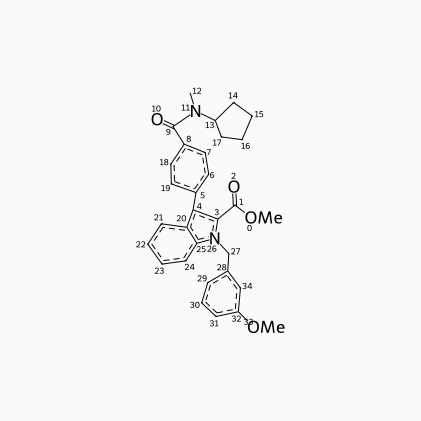 COC(=O)c1c(-c2ccc(C(=O)N(C)C3CCCC3)cc2)c2ccccc2n1Cc1cccc(OC)c1